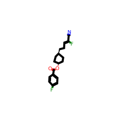 N#CC(F)=CCC[C@H]1CC[C@H](OC(=O)c2ccc(F)cc2)CC1